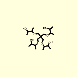 CC(O)C(C)OCC(COC(C)C(C)O)(COC(C)C(C)O)COC(C)C(C)O